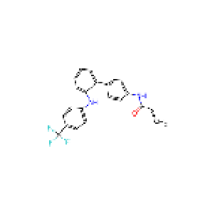 C=CC(=O)Nc1ccc(-c2ccccc2Nc2ccc(C(F)(F)F)cc2)cc1